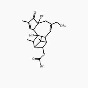 CC(=O)OCC1=CC2C3C(OC(=O)C(C)C)C(C(C)C2(O)C2C=C(C)C(=O)C2(O)C1)C3(C)C